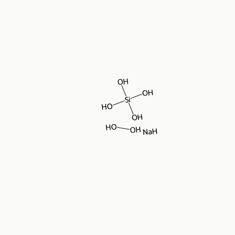 OO.O[Si](O)(O)O.[NaH]